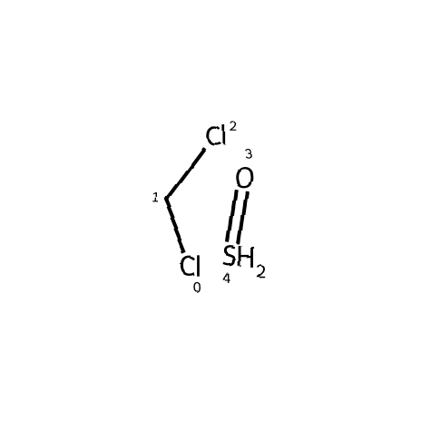 ClCCl.O=[SH2]